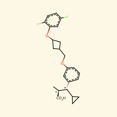 C[C@H](C(=O)O)[C@H](c1cccc(OCC2CC(Oc3cc(F)ccc3F)C2)c1)C1CC1